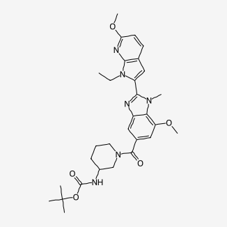 CCn1c(-c2nc3cc(C(=O)N4CCCC(NC(=O)OC(C)(C)C)C4)cc(OC)c3n2C)cc2ccc(OC)nc21